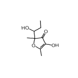 CCC(O)C1(C)OC(C)=C(O)C1=O